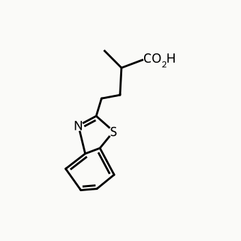 CC(CCc1nc2ccccc2s1)C(=O)O